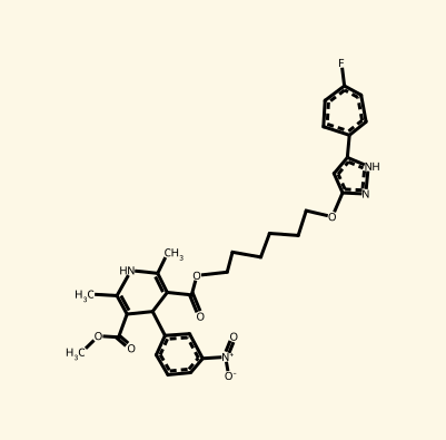 COC(=O)C1=C(C)NC(C)=C(C(=O)OCCCCCCOc2cc(-c3ccc(F)cc3)[nH]n2)C1c1cccc([N+](=O)[O-])c1